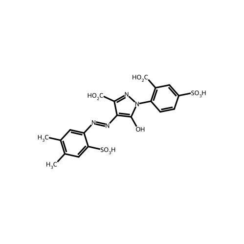 Cc1cc(N=Nc2c(C(=O)O)nn(-c3ccc(S(=O)(=O)O)cc3C(=O)O)c2O)c(S(=O)(=O)O)cc1C